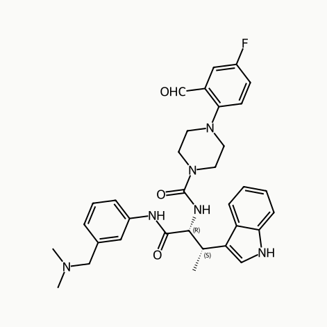 C[C@@H](c1c[nH]c2ccccc12)[C@@H](NC(=O)N1CCN(c2ccc(F)cc2C=O)CC1)C(=O)Nc1cccc(CN(C)C)c1